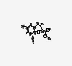 C#Cc1cc(F)cc2c1OC(C(=O)OC)CC2